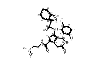 C[S@@+]([O-])CCNC(=O)c1nc(NC(=O)c2nsc3ccccc23)c2n1CC(=O)N[C@H]2c1cc(F)ccc1Cl